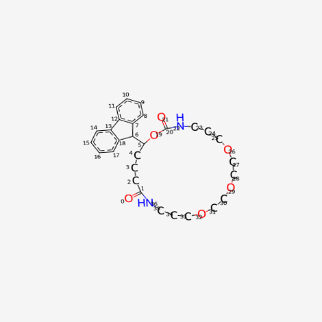 O=C1CCCC(C2c3ccccc3-c3ccccc32)OC(=O)NCCCOCCOCCOCCCN1